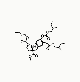 CCC[C@H](C)OC(=O)O[C@@H](C)CC(N)(Cc1ccc(OC(=O)OCC(C)CC)c(OC(=O)OCC(C)CC)c1)C(=O)OC